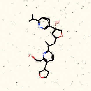 CC(C)c1ccc([C@@]2(O)COC(CC(C)c3ccc(C4CCOC4)c(CO)n3)C2)cn1